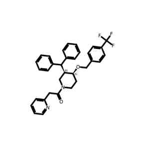 O=C(Cc1ccccn1)N1CC[C@H](OCc2ccc(C(F)(F)F)cc2)[C@H](C(c2ccccc2)c2ccccc2)C1